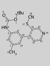 Cc1cc(NC(=O)OC(C)(C)C)cc(-c2ccncc2SC#N)c1